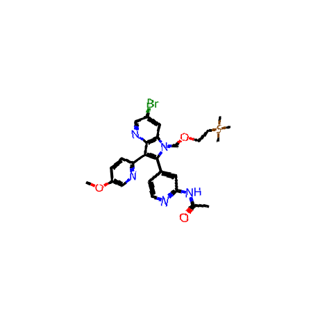 COc1ccc(-c2c(-c3ccnc(NC(C)=O)c3)n(COCCS(C)(C)C)c3cc(Br)cnc23)nc1